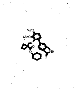 COc1ccc(-c2ccc3c(c2)CNC3=O)c(OCC2(C(=O)OC3CCCCC3)CCC2)c1OC